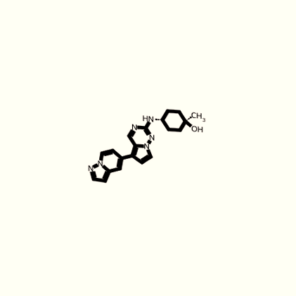 C[C@]1(O)CC[C@H](Nc2ncc3c(-c4ccn5nccc5c4)ccn3n2)CC1